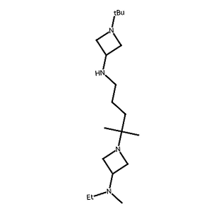 CCN(C)C1CN(C(C)(C)CCCNC2CN(C(C)(C)C)C2)C1